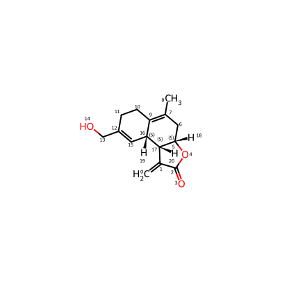 C=C1C(=O)O[C@H]2CC(C)=C3CCC(CO)=C[C@H]3[C@@H]12